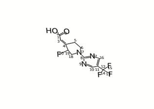 O=C(O)C=C1CCN(c2ncc(C(F)(F)F)cn2)CC1F